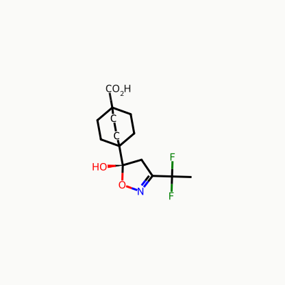 CC(F)(F)C1=NO[C@](O)(C23CCC(C(=O)O)(CC2)CC3)C1